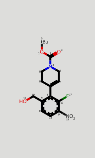 CC(C)(C)OC(=O)N1CC=C(c2c(CO)ccc([N+](=O)[O-])c2F)CC1